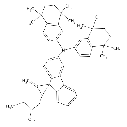 C=C1C(CC(C)CC)C12c1ccccc1-c1cc(N(c3ccc4c(c3)C(C)(C)CCC4(C)C)c3ccc4c(c3)C(C)(C)CCC4(C)C)ccc12